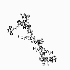 Cc1c(-c2ccc(N3CCc4cccc(C(=O)Nc5nc6ncccc6s5)c4C3)nc2C(=O)O)cnn1CC12CC3CC(C1)CC(OCCN(CCS(=O)(=O)O)C(=O)OCc1ccc(NC(=O)[C@H](CCCNC(N)=O)NC(=O)[C@@H](NC(=O)CCCCCN4C(=O)C=CC4=O)C(C)C)cc1)(C3)C2